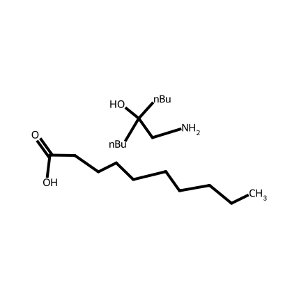 CCCCC(O)(CN)CCCC.CCCCCCCCCC(=O)O